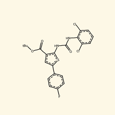 CC(C)(C)OC(=O)c1cc(-c2ccc(F)cc2)sc1NC(=O)Nc1c(Cl)cccc1Cl